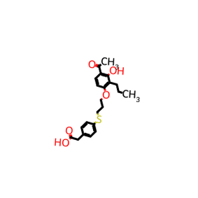 CCCc1c(OCCCSc2ccc(CC(=O)O)cc2)ccc(C(C)=O)c1O